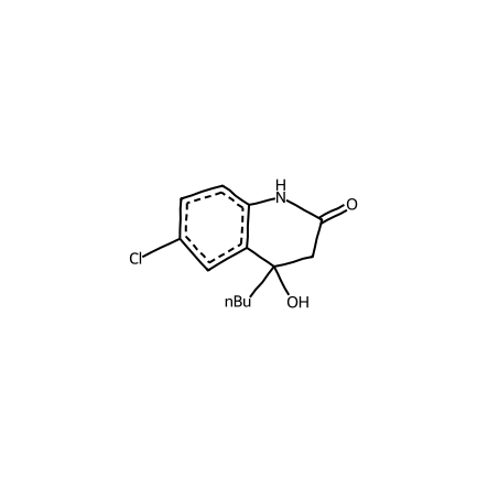 CCCCC1(O)CC(=O)Nc2ccc(Cl)cc21